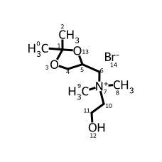 CC1(C)OCC(C[N+](C)(C)CCO)O1.[Br-]